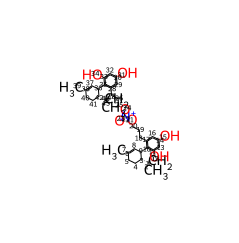 C=C(C)[C@@H]1CCC(C)=C[C@H]1c1c(O)cc(O)cc1CCCO[N+](=O)OCCCc1cc(O)cc(O)c1[C@@H]1C=C(C)CC[C@H]1C(=C)C